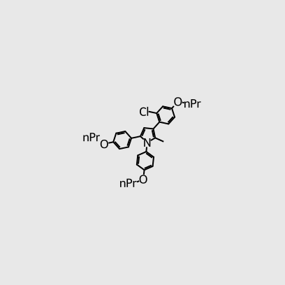 CCCOc1ccc(-c2cc(-c3ccc(OCCC)cc3Cl)c(C)n2-c2ccc(OCCC)cc2)cc1